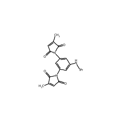 CC1=CC(=O)N(c2cc(NC(C)C)cc(N3C(=O)C=C(C)C3=O)c2)C1=O